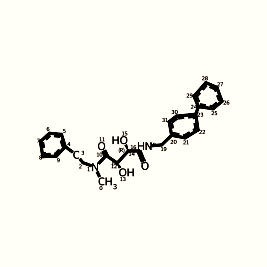 CN(CCc1ccccc1)C(=O)[C@H](O)[C@@H](O)C(=O)NCc1ccc(-c2ccccc2)cc1